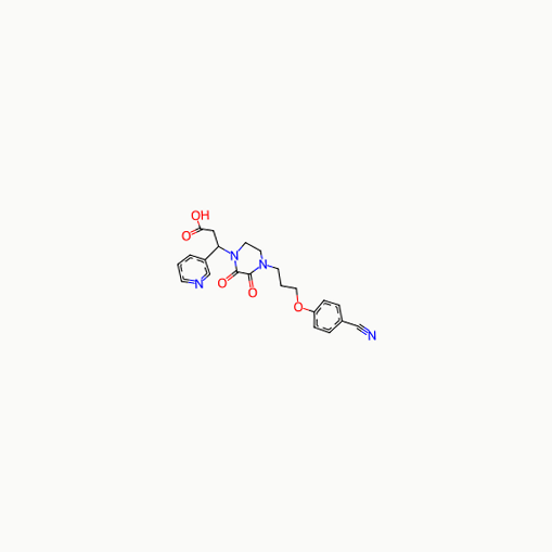 N#Cc1ccc(OCCCN2CCN(C(CC(=O)O)c3cccnc3)C(=O)C2=O)cc1